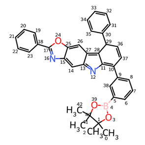 CC1(C)OB(c2cccc(C3=C4N=c5cc6nc(-c7ccccc7)oc6cc5=C4C(c4ccccc4)C=C3)c2)OC1(C)C